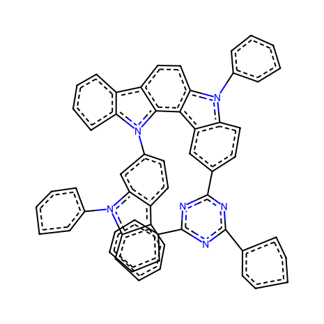 c1ccc(-c2nc(-c3ccccc3)nc(-c3ccc4c(c3)c3c(ccc5c6ccccc6n(-c6ccc7c8ccccc8n(-c8ccccc8)c7c6)c53)n4-c3ccccc3)n2)cc1